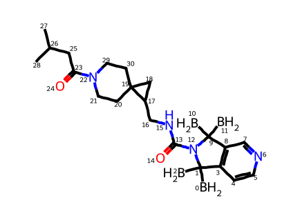 BC1(B)c2ccncc2C(B)(B)N1C(=O)NCC1CC12CCN(C(=O)CC(C)C)CC2